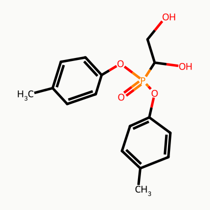 Cc1ccc(OP(=O)(Oc2ccc(C)cc2)C(O)CO)cc1